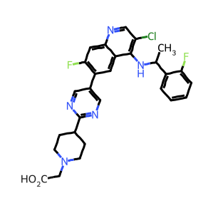 CC(Nc1c(Cl)cnc2cc(F)c(-c3cnc(C4CCN(CC(=O)O)CC4)nc3)cc12)c1ccccc1F